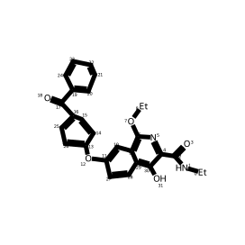 CCNC(=O)c1nc(OCC)c2cc(Oc3ccc(C(=O)c4ccccc4)cc3)ccc2c1O